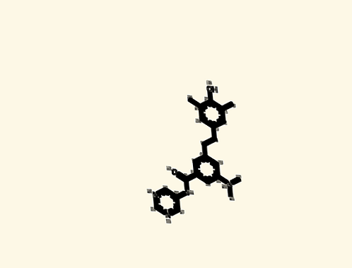 Cc1cc(CCc2cc(C(=O)Sc3cncnc3)cc(N(C)C)c2)cc(C)c1O